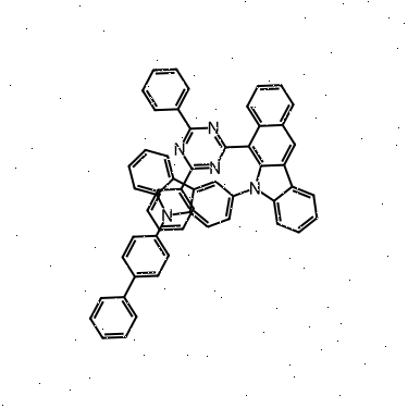 c1ccc(-c2ccc(-n3c4ccccc4c4cc(-n5c6ccccc6c6cc7ccccc7c(-c7nc(-c8ccccc8)nc(-c8ccccc8)n7)c65)ccc43)cc2)cc1